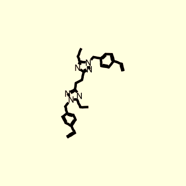 C=Cc1ccc(Cn2nc(CCc3nc(CC)n(Cc4ccc(C=C)cc4)n3)nc2CC)cc1